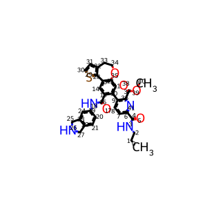 CCCNC(=O)c1ccc(-c2cc3c(cc2C(=O)Nc2ccc4c(c2)CNC4)-c2sccc2CCO3)c(C(=O)OC)n1